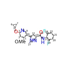 COc1cc(OC2CC2)ncc1-c1cc(C(=O)Nc2c(F)cccc2F)nn1C